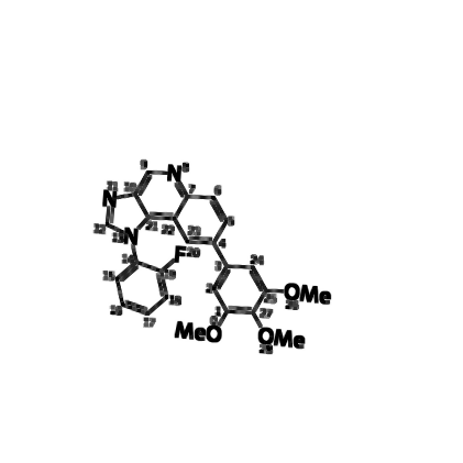 COc1cc(-c2ccc3ncc4ncn(-c5ccccc5F)c4c3c2)cc(OC)c1OC